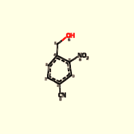 N#Cc1ccc(CO)c([N+](=O)[O-])c1